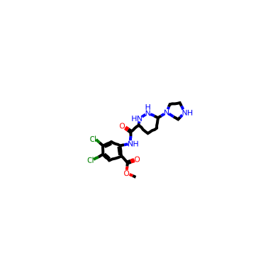 COC(=O)c1cc(Cl)c(Cl)cc1NC(=O)C1CCC(N2CCNC2)NN1